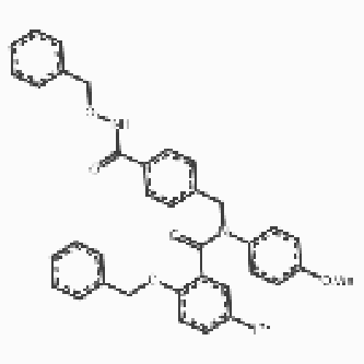 COc1ccc(N(Cc2ccc(C(=O)NOCc3ccccc3)cc2)C(=O)c2cc(C(C)C)ccc2OCc2ccccc2)cc1